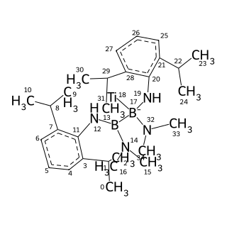 CC(C)c1cccc(C(C)C)c1NB(N(C)C)[B-]([Ti])(Nc1c(C(C)C)cccc1C(C)C)N(C)C